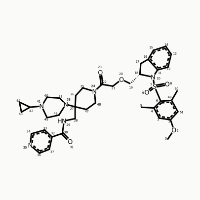 COc1cc(C)c(S(=O)(=O)N2c3ccccc3C[C@H]2COCC(=O)N2CCC(CNC(=O)c3ccncc3)(N3CCN(C4CC4)CC3)CC2)c(C)c1